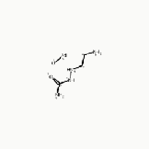 NCCNNC(N)=O.[Cl][Pd]